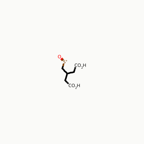 O=[S+]CC(CC(=O)O)CC(=O)O